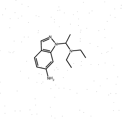 CCN(CC)C(C)n1ncc2ccc(N)cc21